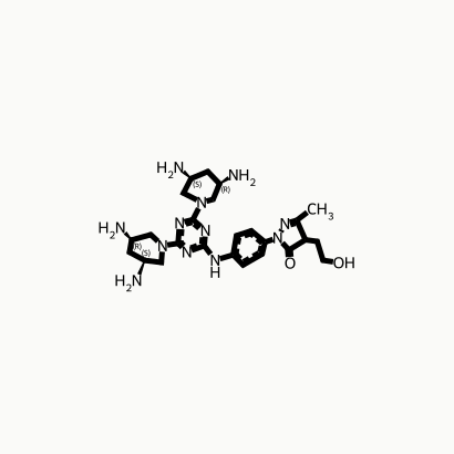 CC1=NN(c2ccc(Nc3nc(N4C[C@H](N)C[C@H](N)C4)nc(N4C[C@H](N)C[C@H](N)C4)n3)cc2)C(=O)C1CCO